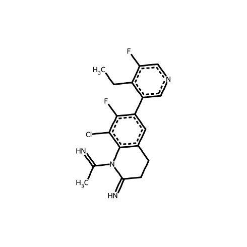 CCc1c(F)cncc1-c1cc2c(c(Cl)c1F)N(C(C)=N)C(=N)CC2